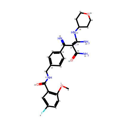 COc1ccc(F)cc1C(=O)NCc1ccc(C(=N)/C(C(N)=O)=C(/N)NC2CCOCC2)cc1